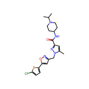 Cc1cc(C(=O)NC2CCN(C(C)C)CC2)nn1Cc1cc(-c2ccc(Cl)s2)on1